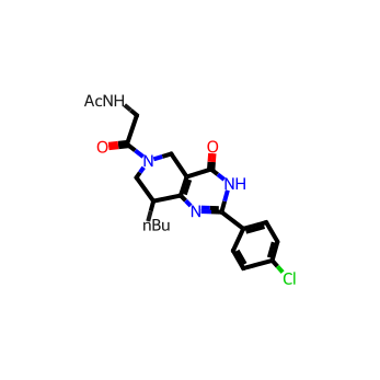 CCCCC1CN(C(=O)CNC(C)=O)Cc2c1nc(-c1ccc(Cl)cc1)[nH]c2=O